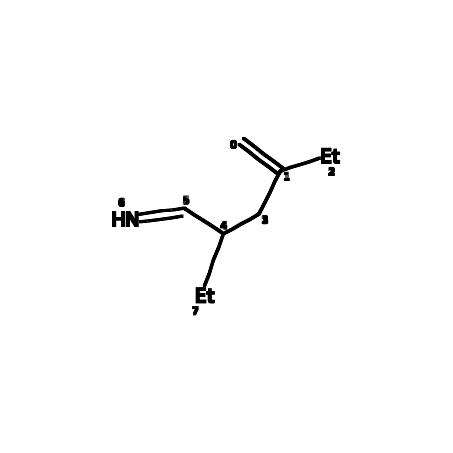 C=C(CC)CC(C=N)CC